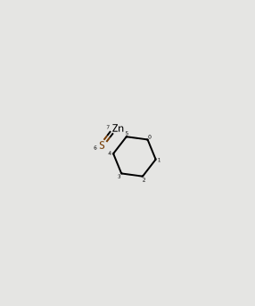 C1CCCCC1.[S]=[Zn]